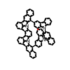 c1ccc(-n2c3ccccc3c3cc(-c4c5ccccc5cc5c6cccc7c8c9c%10cccc%11c%12cc%13ccccc%13c(-c%13ccc%14c(c%13)c%13ccccc%13n%14-c%13ccccc%13)c%12n(c9ccc8n(c45)c67)c%11%10)ccc32)cc1